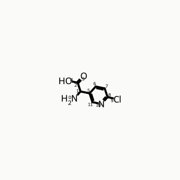 NC(C(=O)O)c1ccc(Cl)nc1